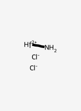 [Cl-].[Cl-].[NH2][Hf+2]